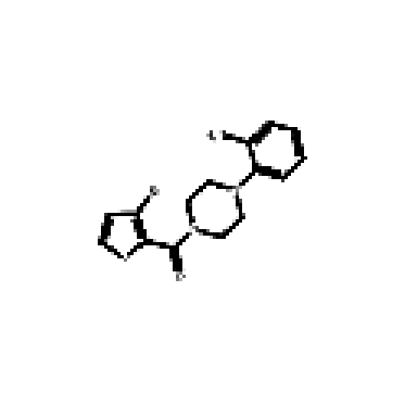 Nc1ccccc1N1CCN(C(=O)c2sccc2Br)CC1